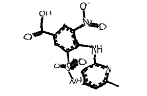 Cc1cccc(Nc2c([N+](=O)[O-])cc(C(=O)O)cc2S(N)(=O)=O)n1